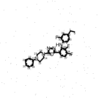 CCc1ccc(Nc2c(-c3nnc(N4CCN(c5ccccc5)CC4)o3)ccc(F)c2F)c(F)c1